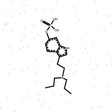 CCCN(CCC)CCc1c[nH]c2cc(OP(=O)(O)O)ccc12